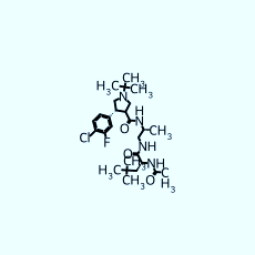 CC(=O)N[C@@H](CC(C)(C)C)C(=O)NC[C@H](C)NC(=O)C1CN(C(C)(C)C)C[C@H]1c1ccc(Cl)c(F)c1